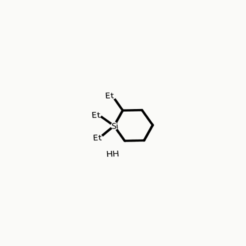 CCC1CCCC[Si]1(CC)CC.[HH]